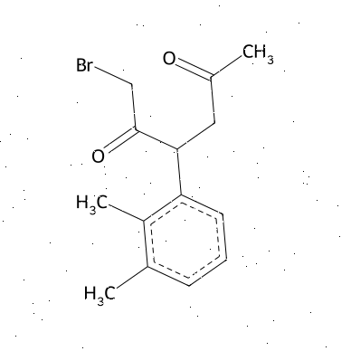 CC(=O)CC(C(=O)CBr)c1cccc(C)c1C